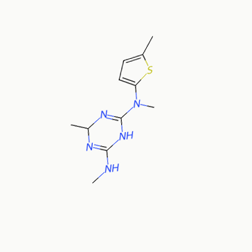 CNC1=NC(C)N=C(N(C)c2ccc(C)s2)N1